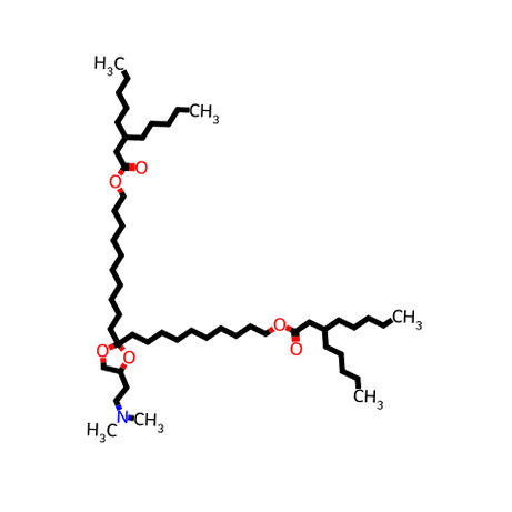 CCCCCC(CCCCC)CC(=O)OCCCCCCCCCCC1(CCCCCCCCCCOC(=O)CC(CCCCC)CCCCC)OCC(CCN(C)C)O1